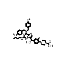 CCCCOc1nc(N(Cc2ccc(OC)cc2)Cc2ccc(OC)cc2)c2ncc(C(O)c3ccc(N4CCN(C(=O)O)CC4)c(C)c3)n2n1